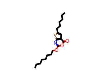 CCCCCCCCOc1nc2sc(CCCCCC)cc2c(=O)o1